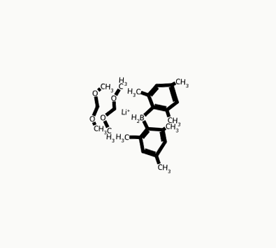 COCOC.COCOC.Cc1cc(C)c([BH2-]c2c(C)cc(C)cc2C)c(C)c1.[Li+]